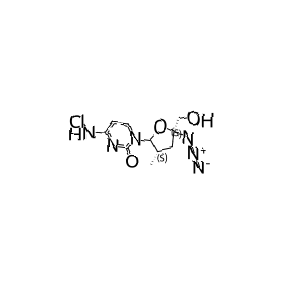 C[C@H]1C[C@](CO)(N=[N+]=[N-])OC1n1ccc(NCl)nc1=O